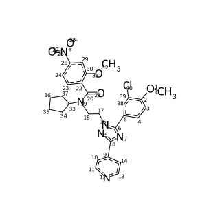 COc1ccc(-c2nc(-c3ccncc3)nn2CCN(C(=O)c2ccc([N+](=O)[O-])cc2OC)C2CCCC2)cc1Cl